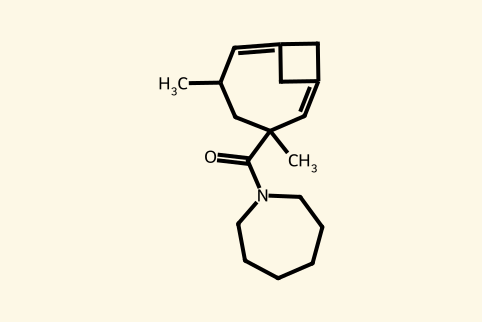 CC1C=C2CC(=CC(C)(C(=O)N3CCCCCC3)C1)C2